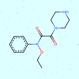 CCON(C(=O)C(=O)N1CCNCC1)c1ccccc1